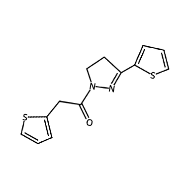 O=C(Cc1cccs1)N1CCC(c2cccs2)=N1